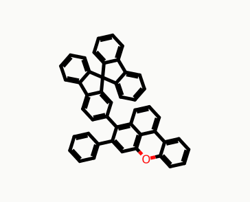 c1ccc(-c2cc3c4c(cccc4c2-c2ccc4c(c2)C2(c5ccccc5-c5ccccc52)c2ccccc2-4)-c2ccccc2O3)cc1